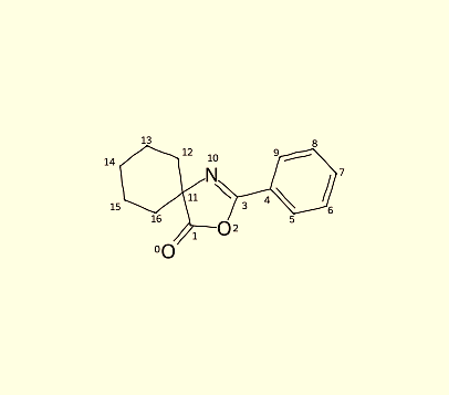 O=C1OC(c2ccccc2)=NC12CCCCC2